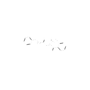 Nc1ccccc1C(=O)N(N)CC(=O)NCc1ccccc1